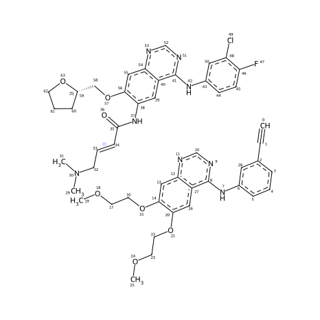 C#Cc1cccc(Nc2ncnc3cc(OCCOC)c(OCCOC)cc23)c1.CN(C)C/C=C/C(=O)Nc1cc2c(Nc3ccc(F)c(Cl)c3)ncnc2cc1OC[C@@H]1CCCO1